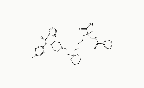 Cc1ccc(N(C(=O)c2ccco2)C2CCN(CCC3(CCCCCC(C)(COC(=O)c4ccccc4)C(=O)O)CCCCC3)CC2)nc1